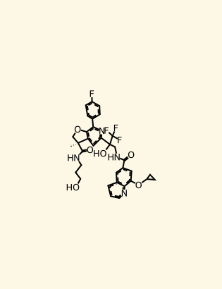 C[C@]1(C(=O)NCCCO)COc2c1cc(C(O)(CNC(=O)c1cc(OC3CC3)c3ncccc3c1)C(F)(F)F)nc2-c1ccc(F)cc1